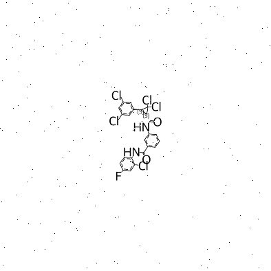 O=C(Nc1ccc(F)cc1Cl)c1cccc(NC(=O)[C@@H]2[C@@H](c3cc(Cl)cc(Cl)c3)C2(Cl)Cl)c1